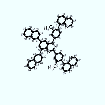 Cc1cc(-c2nc(-c3ccc(-c4cccc5cccnc45)c(C)c3)c3cc(-c4ccc5ccccc5c4)cc(-c4ccc5ccccc5c4)c3n2)ccc1-c1cccc2cccnc12